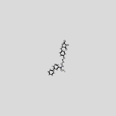 C/C(=N/OCCOc1ccc(CC2SC(=O)NC2=O)cc1)c1cncc(-c2ccccc2)c1